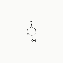 O=C1C=C[C@H](O)OC1